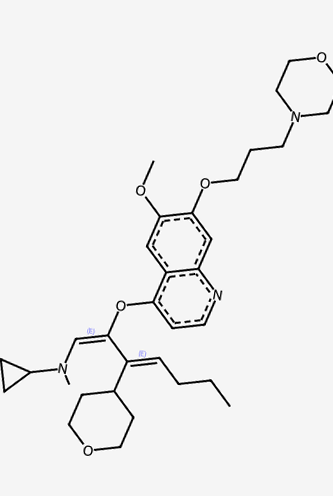 CCC/C=C(/C(=C\N(C)C1CC1)Oc1ccnc2cc(OCCCN3CCOCC3)c(OC)cc12)C1CCOCC1